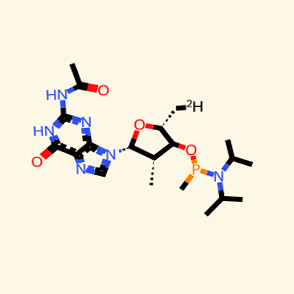 [2H]C[C@H]1O[C@@H](n2cnc3c(=O)[nH]c(NC(C)=O)nc32)[C@@H](C)C1OP(C)N(C(C)C)C(C)C